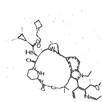 C=C/C(=C(\N=C/C)[C@H](C)OC)c1c2c3cc(ccc3n1CC)C1CSC(=N1)[C@@H](OCCN1CCC1)[C@H](NC(=O)[C@H]1[C@H](C)[C@@H]1C)C(=O)N1CCC[C@H](N1)C(=O)OCC(C)(C)C2